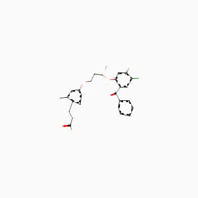 Cc1cc(OCC[C@@H](C)Oc2cc(Cl)c(Cl)cc2C(=O)c2ccccc2)ccc1CCC(=O)O